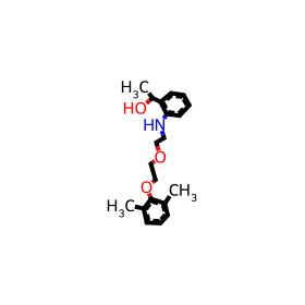 Cc1cccc(C)c1OCCOCCNc1ccccc1C(C)O